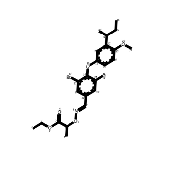 CCOC(=O)C(C)ON=Cc1cc(Br)c(Oc2ccc(OC)c(C(C)CC)c2)c(Br)c1